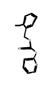 Cc1ccccc1COC(=O)Oc1ccccn1